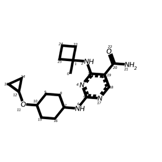 CC1(Nc2nc(NC3CCC(OC4CC4)CC3)ncc2C(N)=O)CCC1